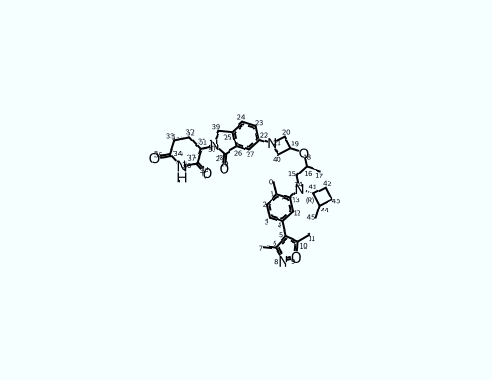 Cc1ccc(-c2c(C)noc2C)cc1N(CC(C)OC1CN(c2ccc3c(c2)C(=O)N(C2CCC(=O)NC2=O)C3)C1)[C@@H]1CCC1C